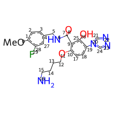 COc1ccc(CNC(=O)c2c(OCCCCN)ccc(-n3cnnc3)c2O)cc1F